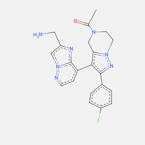 CC(=O)N1CCn2nc(-c3ccc(F)cc3)c(-c3ccnn4cc(CN)nc34)c2C1